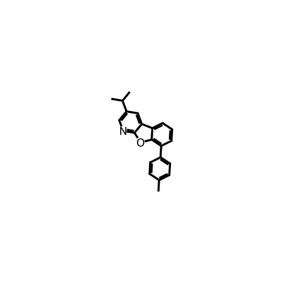 Cc1ccc(-c2cccc3c2oc2ncc(C(C)C)cc23)cc1